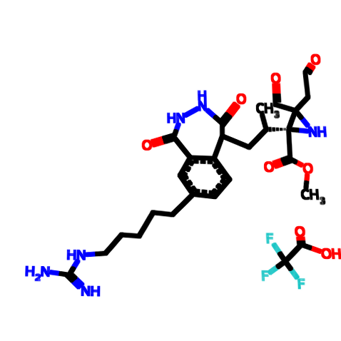 COC(=O)[C@]1(C(C)CC2C(=O)NNC(=O)c3cc(CCCCCNC(=N)N)ccc32)NC1(C=O)CC=O.O=C(O)C(F)(F)F